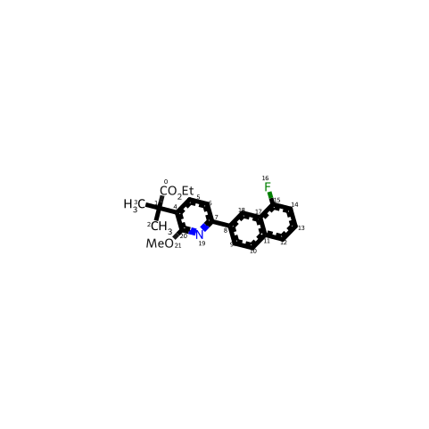 CCOC(=O)C(C)(C)c1ccc(-c2ccc3cccc(F)c3c2)nc1OC